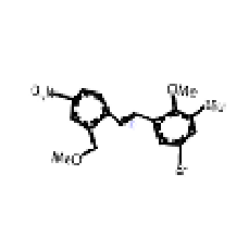 COCc1cc([N+](=O)[O-])ccc1/C=C/c1cc(Br)cc(C(C)(C)C)c1OC